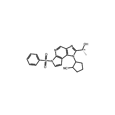 C[C@@H](O)c1nc2cnc3c(ccn3S(=O)(=O)c3ccccc3)c2n1C1CCCC1C#N